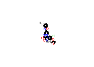 Cc1ccc2oc(C3CCN(c4c(C(N)=O)c(=O)n(C)c5cc(OC6CCOC6)c(Cl)cc45)CC3)nc2c1